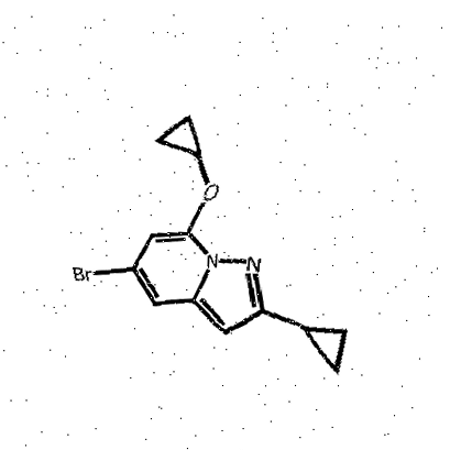 Brc1cc(OC2CC2)n2nc(C3CC3)cc2c1